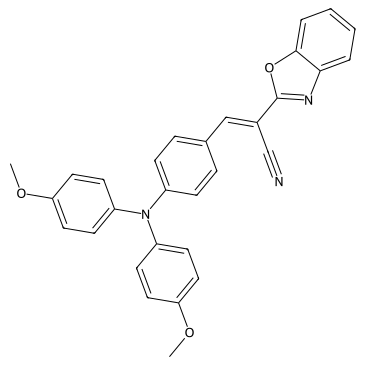 COc1ccc(N(c2ccc(/C=C(\C#N)c3nc4ccccc4o3)cc2)c2ccc(OC)cc2)cc1